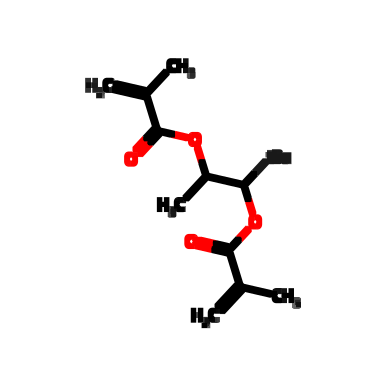 C=C(C)C(=O)OC(C)C(OC(=O)C(=C)C)C(C)(C)C